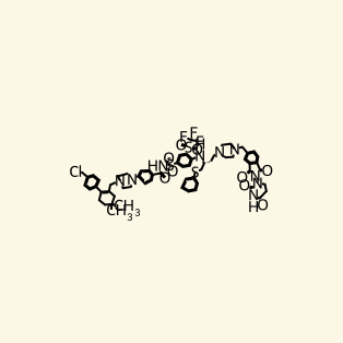 CC1(C)CCC(c2ccc(Cl)cc2)=C(CN2CCN(c3ccc(C(=O)NS(=O)(=O)c4ccc(N[C@H](CCN5CCN(Cc6ccc7c(c6)C(=O)N(N6CCC(=O)NC6=O)C7=O)CC5)CSc5ccccc5)c(S(=O)(=O)C(F)(F)F)c4)cc3)CC2)C1